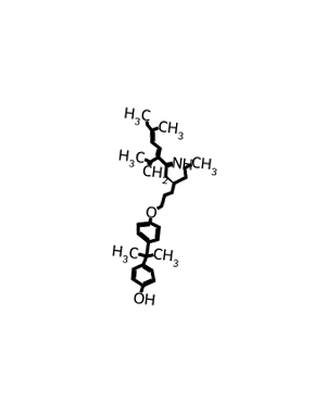 C=C(C)/C(=C\C=C(/C)CC)C(=N)C[C@@H](CCC)CCCOc1ccc(C(C)(C)c2ccc(O)cc2)cc1